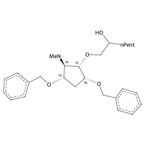 CCCCCC(O)CO[C@H]1[C@H](NC)[C@@H](OCc2ccccc2)C[C@H]1OCc1ccccc1